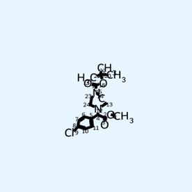 COC(=O)C(c1ccc(Cl)cc1)N1CCN(C(=O)OC(C)(C)C)CC1